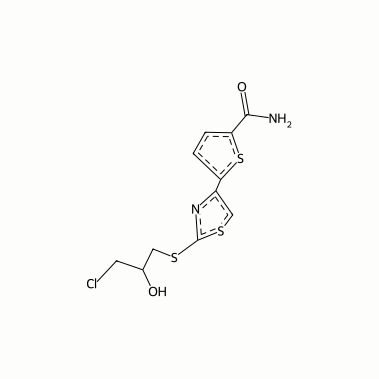 NC(=O)c1ccc(-c2csc(SCC(O)CCl)n2)s1